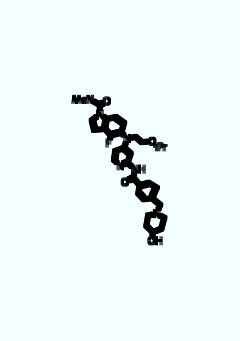 CNC(=O)n1ccc2c(F)c(N(CCOC(C)C)c3ccnc(NC(=O)c4ccc(CN5CCC(O)CC5)cc4)c3)ccc21